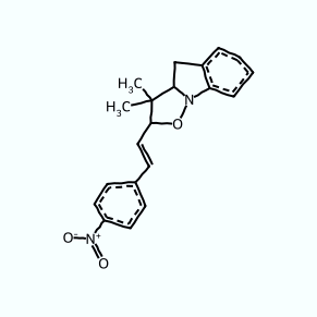 CC1(C)C(C=Cc2ccc([N+](=O)[O-])cc2)ON2c3ccccc3CC21